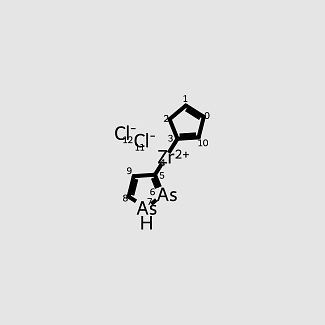 C1=CC[C]([Zr+2][C]2=[As][AsH]C=C2)=C1.[Cl-].[Cl-]